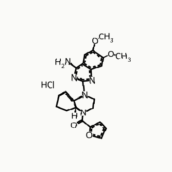 COc1cc2nc(N3CCN(C(=O)c4ccco4)[C@@H]4CCCC=C43)nc(N)c2cc1OC.Cl